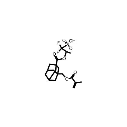 C=C(C)C(=O)OCC12CC3CC(C1)CC(C(=O)OC(C)C(F)(F)S(=O)(=O)O)(C3)C2